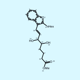 CCCCCCc1oc2ccccc2c1/C=C/C(O)C(O)CCCC(=O)OC